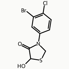 O=C1C(O)SCN1c1ccc(Cl)c(Br)c1